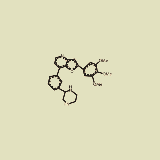 COc1cc(-c2cc3nccc(-c4cccc(C5CNCCN5)c4)c3o2)cc(OC)c1OC